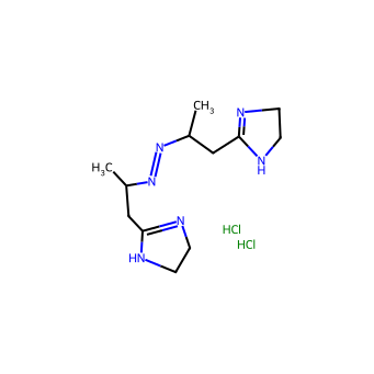 CC(CC1=NCCN1)N=NC(C)CC1=NCCN1.Cl.Cl